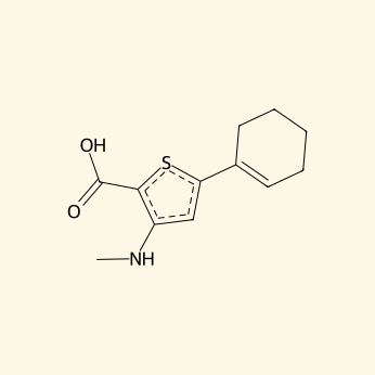 CNc1cc(C2=CCCCC2)sc1C(=O)O